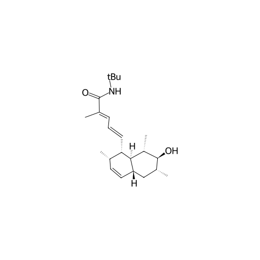 C/C(=C\C=C\[C@@H]1[C@H]2[C@H](C)[C@@H](O)[C@H](C)C[C@@H]2C=C[C@@H]1C)C(=O)NC(C)(C)C